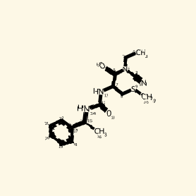 CCN(C#N)C(=O)C(CSC)NC(=O)N[C@@H](C)c1ccccc1